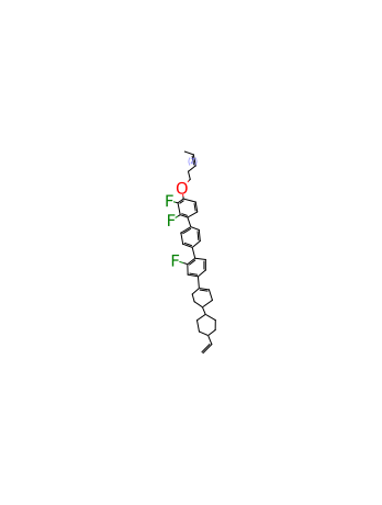 C=CC1CCC(C2CC=C(c3ccc(-c4ccc(-c5ccc(OCC/C=C\C)c(F)c5F)cc4)c(F)c3)CC2)CC1